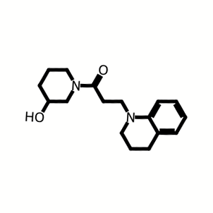 O=C(CCN1CCCc2ccccc21)N1CCCC(O)C1